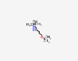 CC(C)OCCCCCNC(C)(C)C